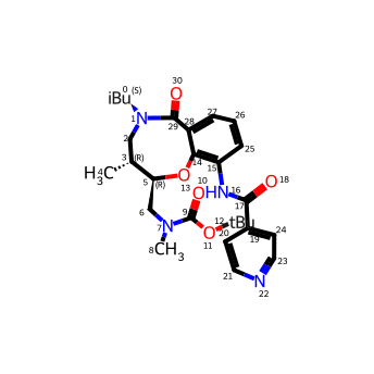 CC[C@H](C)N1C[C@@H](C)[C@H](CN(C)C(=O)OC(C)(C)C)Oc2c(NC(=O)c3ccncc3)cccc2C1=O